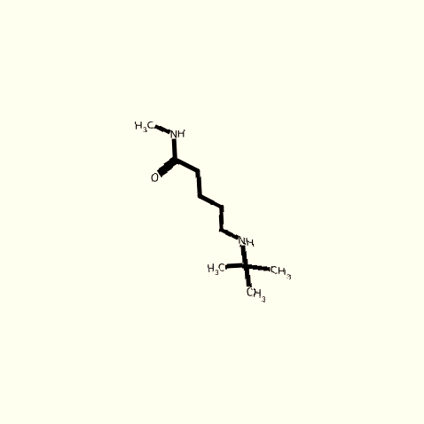 CNC(=O)CCCCNC(C)(C)C